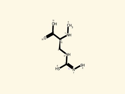 CN[C@@H](CN/C(S)=N\S)C(=O)O